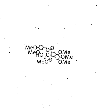 COCOc1c(C(=O)O)c(C(=O)OCc2ccc(OC)c(OC)c2)cc2c(OC)c(OC)c(OC)cc12